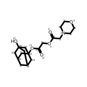 O=C(CN1CCOCC1)OCC(=O)OC12CC3CC(CC(O)(C3)C1)C2